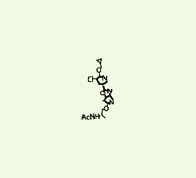 CC(=O)N[C@@H](C)COc1cc2oc(-c3cnc(OCC4CC4)c(Cl)c3)nc2cn1